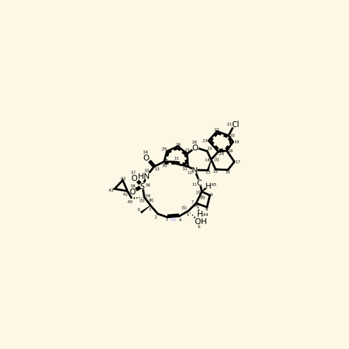 C[C@@H]1C/C=C\[C@@H](O)[C@@H]2CC[C@H]2CN2C[C@@]3(CCCc4cc(Cl)ccc43)COc3ccc(cc32)C(=O)NS(=O)(=O)[C@H]1CC1CC1